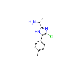 Cc1ccc(-c2[nH]c([C@@H](C)N)nc2Cl)cc1